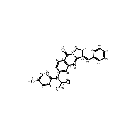 O=C(O)/C=C\C(=O)N(c1ccc2c(=O)n3c(nc2c1)C(=Cc1ccccc1)CC3)C(Cl)Cl